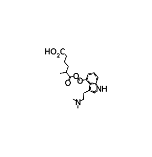 CC(CCCC(=O)O)C(=O)OOc1cccc2[nH]cc(CCN(C)C)c12